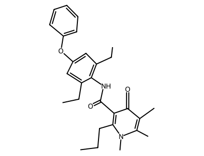 CCCc1c(C(=O)Nc2c(CC)cc(Oc3ccccc3)cc2CC)c(=O)c(C)c(C)n1C